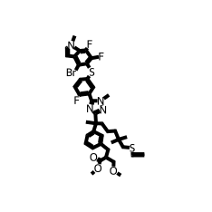 C=CSCC(C)(C)CCCC(C)(c1cccc(CC(COC)C(=O)OC)c1)c1nc(-c2cc(Sc3c(F)c(F)c4c(ccn4C)c3Br)ccc2F)n(C)n1